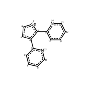 c1ccc(-c2cc[se]c2-c2ccccn2)nc1